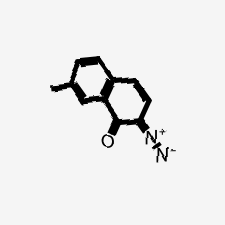 Cc1ccc2c(c1)C(=O)C(=[N+]=[N-])C=C2